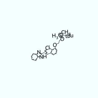 CC(C)(C)[Si](C)(C)OCCOc1cccc(CSc2nc3ccccc3[nH]2)c1Cl